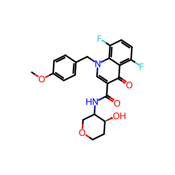 COc1ccc(Cn2cc(C(=O)NC3COCC[C@@H]3O)c(=O)c3c(F)ccc(F)c32)cc1